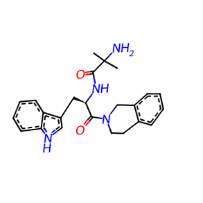 CC(C)(N)C(=O)N[C@H](Cc1c[nH]c2ccccc12)C(=O)N1CCc2ccccc2C1